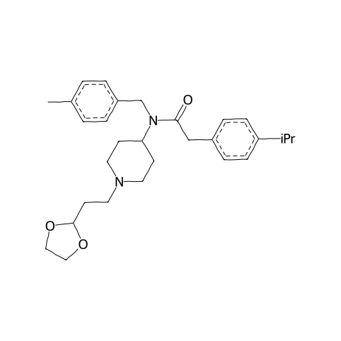 Cc1ccc(CN(C(=O)Cc2ccc(C(C)C)cc2)C2CCN(CCC3OCCO3)CC2)cc1